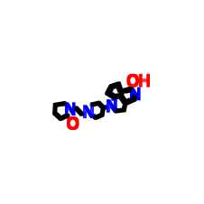 O=C1CCCCN1CCN1CCC(N2CCc3cnc(O)c4cccc2c34)CC1